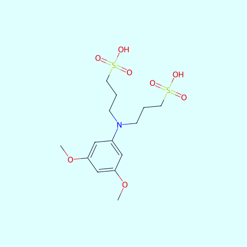 COc1cc(OC)cc(N(CCCS(=O)(=O)O)CCCS(=O)(=O)O)c1